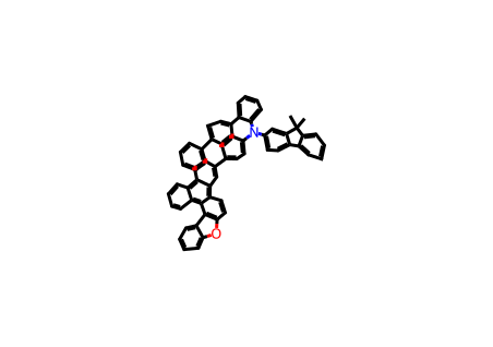 CC1(C)c2ccccc2-c2ccc(N(c3ccc(-c4ccc5c6ccccc6c6c(ccc7oc8ccccc8c76)c5c4)cc3)c3ccccc3-c3ccc(-c4ccccc4)cc3)cc21